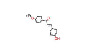 CCCOc1ccc(C(=O)/C=C/c2ccc(O)cc2)cc1